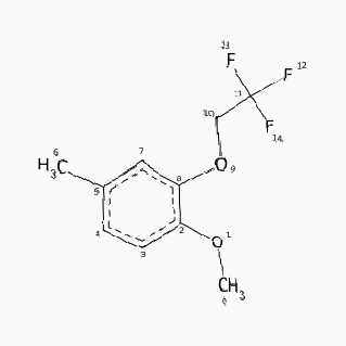 COc1ccc(C)cc1OCC(F)(F)F